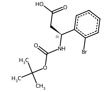 CC(C)(C)OC(=O)N[C@@H](CC(=O)O)c1ccccc1Br